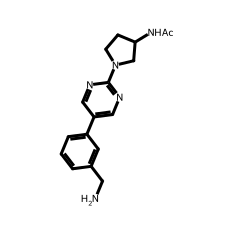 CC(=O)NC1CCN(c2ncc(-c3cccc(CN)c3)cn2)C1